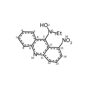 CCN(O)c1c2ccccc2nc2cccc([N+](=O)[O-])c12